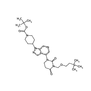 CC(C)(C)OC(=O)N1CCC(n2ncc3c(N4CCC(=O)N(COCC[Si](C)(C)C)C4=O)cncc32)CC1